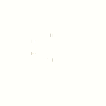 Oc1cc(P(c2ccccc2)c2ccccc2)c(O)c(O)c1O